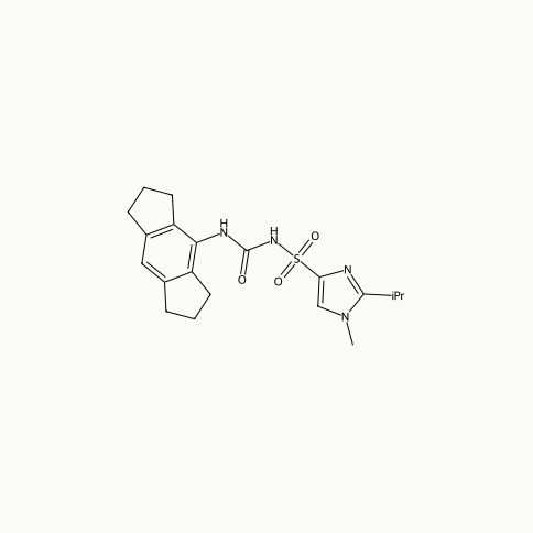 CC(C)c1nc(S(=O)(=O)NC(=O)Nc2c3c(cc4c2CCC4)CCC3)cn1C